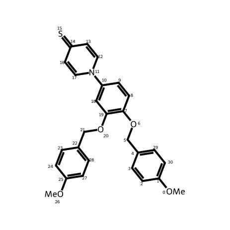 COc1ccc(COc2ccc(-n3ccc(=S)cc3)cc2OCc2ccc(OC)cc2)cc1